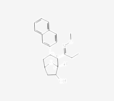 CCC(=NOC)[C@H]1[C@@H](c2ccc3ccccc3c2)CC2CC(O)[C@H]1O2